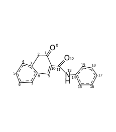 O=C1Cc2ccccc2C=C1C(=O)Nc1ccccc1